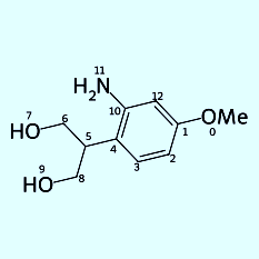 COc1ccc(C(CO)CO)c(N)c1